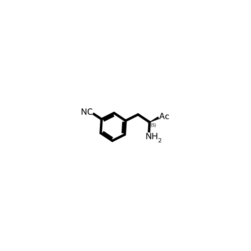 CC(=O)[C@@H](N)Cc1cccc(C#N)c1